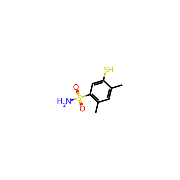 Cc1cc(C)c(S(N)(=O)=O)cc1S